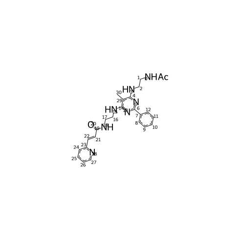 CC(=O)NCCNc1nc(-c2ccccc2)nc(NCCNC(=O)/C=C/c2ccccn2)c1C